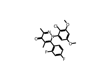 COc1cc(OC)c(Cl)c(-n2nc(C)c(=O)c(C)c2-c2ccc(F)cc2F)c1